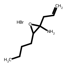 Br.C=CCC1(N)OC1CCCC